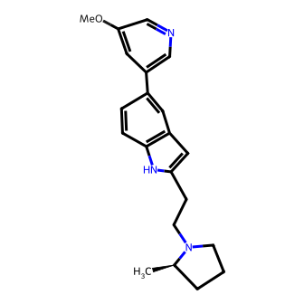 COc1cncc(-c2ccc3[nH]c(CCN4CCC[C@H]4C)cc3c2)c1